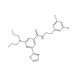 CCCN(CCC)c1cc(C(=O)NCCc2cc(F)cc(F)c2)cc(-c2ncco2)n1